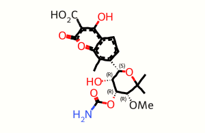 CO[C@@H]1[C@H](OC(N)=O)[C@H](O)[C@H](c2ccc3c(O)c(C(=O)O)c(=O)oc3c2C)OC1(C)C